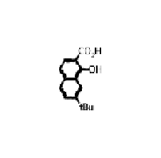 CC(C)(C)c1ccc2ccc(C(=O)O)c(O)c2c1